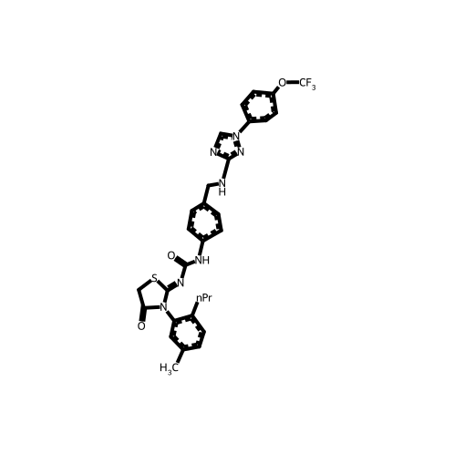 CCCc1ccc(C)cc1N1C(=O)CSC1=NC(=O)Nc1ccc(CNc2ncn(-c3ccc(OC(F)(F)F)cc3)n2)cc1